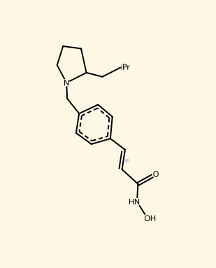 CC(C)CC1CCCN1Cc1ccc(/C=C/C(=O)NO)cc1